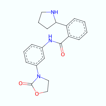 O=C(Nc1cccc(N2CCOC2=O)c1)c1ccccc1C1CCCN1